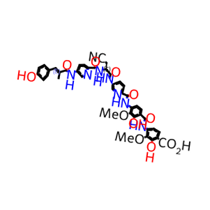 COc1c(NC(=O)c2ccc(NC(=O)c3ccc(NC(=O)[C@H](CC#N)NC(=O)c4ccc(NC(=O)/C(C)=C/c5ccc(O)cc5)cn4)cn3)c(OC)c2O)ccc(C(=O)O)c1O